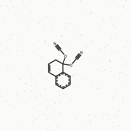 N#COC1(OC#N)CC=Cc2ccccc21